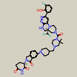 CC1(C)CN(CC2CCN(c3ccc4c(c3)C(=O)N([C@@H]3CCC(=O)NC3=O)C4)CC2)CCN1C(=O)N1CCN2c3cc(-c4cccc(F)c4O)nnc3NC[C@@]2(C(F)F)C1